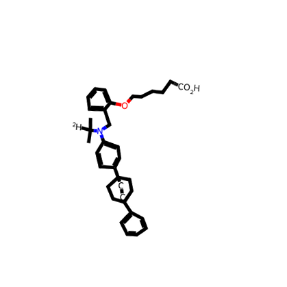 [2H]C(C)(C)N(Cc1ccccc1OCCCCCC(=O)O)c1ccc(C23CCC(c4ccccc4)(CC2)CC3)cc1